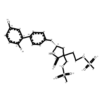 CS(=O)(=O)OCCC1(COS(C)(=O)=O)C[C@@H](Cc2ccc(-c3cc(Cl)ccc3F)cc2)NC1=O